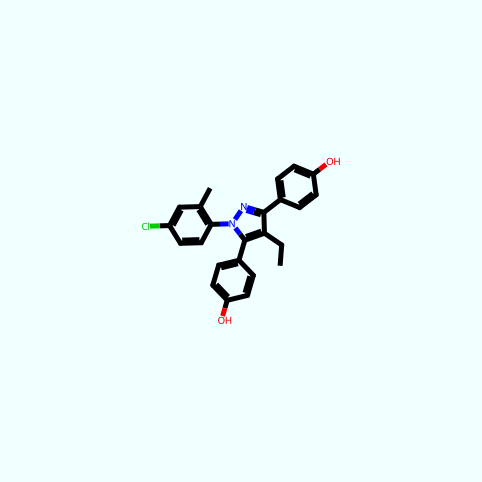 CCc1c(-c2ccc(O)cc2)nn(-c2ccc(Cl)cc2C)c1-c1ccc(O)cc1